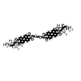 CCC(C)(C)CCC(C)(C)N1C(=O)c2ccc3c4ccc5c6c(ccc(c7ccc(c2c37)C1=O)c64)C(=O)N(CCOCCOCCN1C(=O)c2ccc3c4ccc6c7c(ccc(c8ccc(c2c38)C1=O)c74)C(=O)N(C(C)(C)CCC(C)(C)CC)C6=O)C5=O